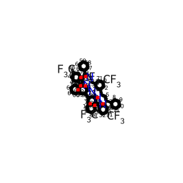 FC(F)(F)c1cc(-c2cc(-c3ccccc3)nc(-c3ccccc3)n2)c(-n2c3cc(-c4ccc(C(F)(F)F)cc4C(F)(F)F)ccc3c3ccc(-c4ccc(C(F)(F)F)cc4C(F)(F)F)cc32)c(-c2nc(-c3ccccc3)cc(-c3ccccc3)n2)c1